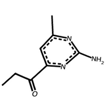 CCC(=O)c1cc(C)nc(N)n1